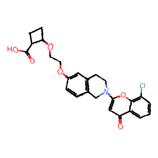 O=C(O)C1CCC1OCCOc1ccc2c(c1)CCN(c1cc(=O)c3cccc(Cl)c3o1)C2